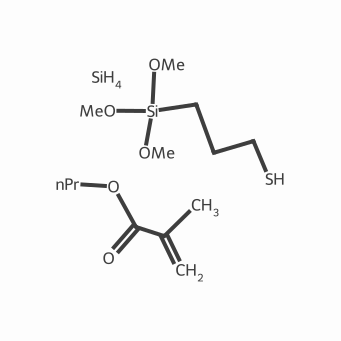 CO[Si](CCCS)(OC)OC.[CH2]CCOC(=O)C(=C)C.[SiH4]